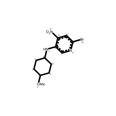 COC1CCC(Nc2cnc(Br)cc2[N+](=O)[O-])CC1